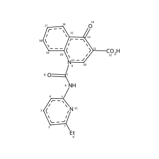 CCc1cccc(NC(=O)n2cc(C(=O)O)c(=O)c3ccccc32)n1